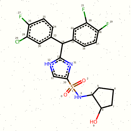 O=S(=O)(NC1CCCC1O)c1c[nH]c(C(c2ccc(F)c(F)c2)c2ccc(F)c(Cl)c2)n1